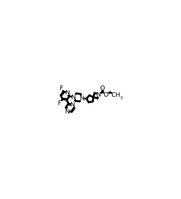 CCOC(=O)N1CC2(CC[C@@H](N3CCN(c4nc(F)cc(F)c4-c4cnccn4)CC3)C2)C1